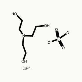 O=S(=O)([O-])[O-].OCCN(CCO)CCO.[Cu+2]